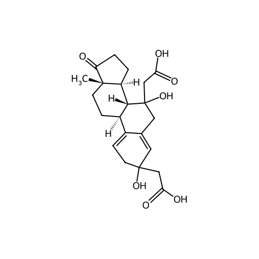 C[C@]12CC[C@@H]3C4=CCC(O)(CC(=O)O)C=C4CC(O)(CC(=O)O)[C@H]3[C@@H]1CCC2=O